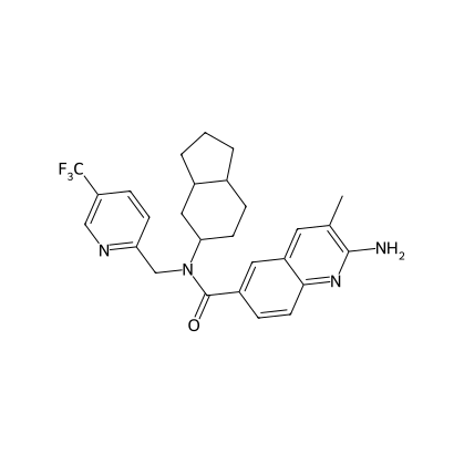 Cc1cc2cc(C(=O)N(Cc3ccc(C(F)(F)F)cn3)C3CCC4CCCC4C3)ccc2nc1N